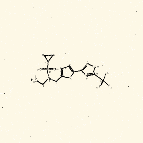 CCN(Cc1ccc(-c2noc(C(F)(F)F)n2)s1)S(=O)(=O)C1CC1